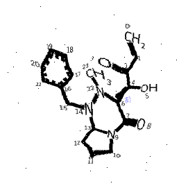 C=CC(=O)/C(O)=C1/C(=O)N2CCCC2N(Cc2ccccc2)N1C